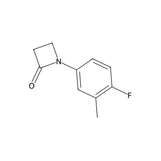 Cc1cc(N2CCC2=O)ccc1F